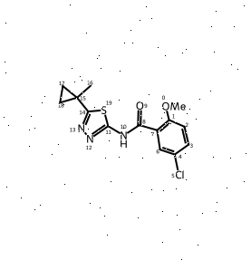 COc1ccc(Cl)cc1C(=O)Nc1nnc(C2(C)CC2)s1